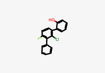 Oc1ccccc1-c1ccc(F)c(-c2ccccc2)c1Cl